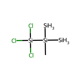 C[Si]([SiH3])([SiH3])[Si](Cl)(Cl)Cl